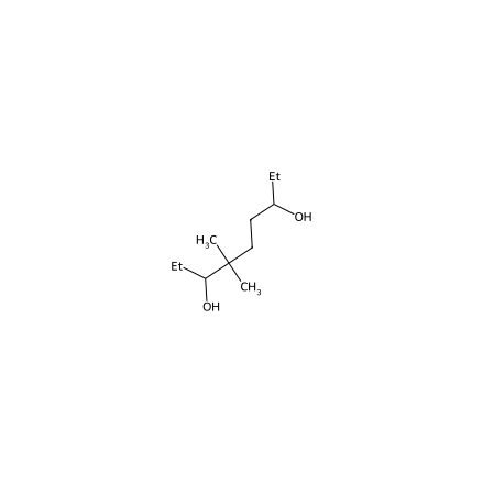 CCC(O)CCC(C)(C)C(O)CC